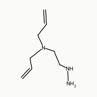 C=CCN(CC=C)CCNN